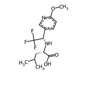 COc1ccc([C@H](N[C@@H](CC(C)C)C(=O)O)C(F)(F)F)cn1